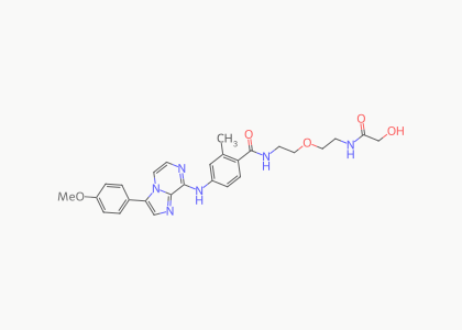 COc1ccc(-c2cnc3c(Nc4ccc(C(=O)NCCOCCNC(=O)CO)c(C)c4)nccn23)cc1